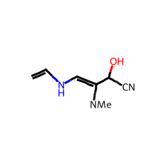 C=CN/C=C(\NC)C(O)C#N